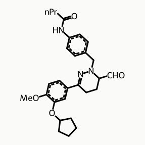 CCCC(=O)Nc1ccc(CN2N=C(c3ccc(OC)c(OC4CCCC4)c3)CCC2C=O)cc1